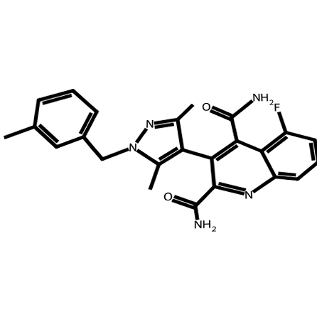 Cc1cccc(Cn2nc(C)c(-c3c(C(N)=O)nc4cccc(F)c4c3C(N)=O)c2C)c1